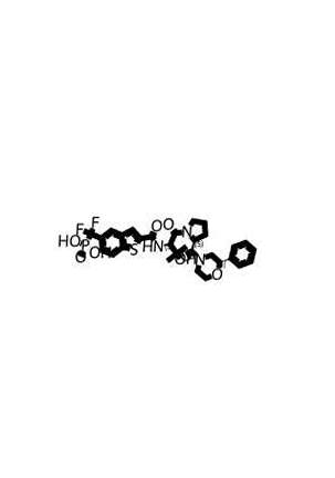 CC(C)(O)[C@H](NC(=O)c1cc2cc(C(F)(F)P(=O)(O)O)ccc2s1)C(=O)N1CCC[C@H]1C(=O)N1CCO[C@@H](c2ccccc2)C1